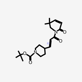 CC1(C)C=CC(=O)N(C(=O)/C=C/C2CCN(C(=O)OC(C)(C)C)CC2)C1